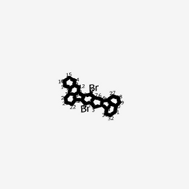 Brc1c2cc3c(cc2c(Br)c2c4cc5ccccc5c5cccc(c12)c54)c1cccc2cccc3c21